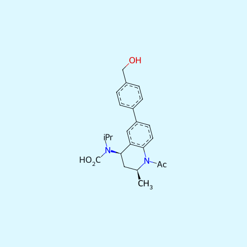 CC(=O)N1c2ccc(-c3ccc(CO)cc3)cc2[C@H](N(C(=O)O)C(C)C)C[C@@H]1C